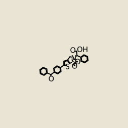 O=C(c1ccccc1)c1ccc(-c2cc3c(s2)S(=O)(=O)N(C(C(=O)O)c2ccccc2)C3)cc1